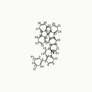 Cc1cc(C)cc(-c2cccc3c2ccc(-c2cc4c(cc2C)-c2ccccc2C42c4ccccc4-c4ccccc42)[n+]3C)c1